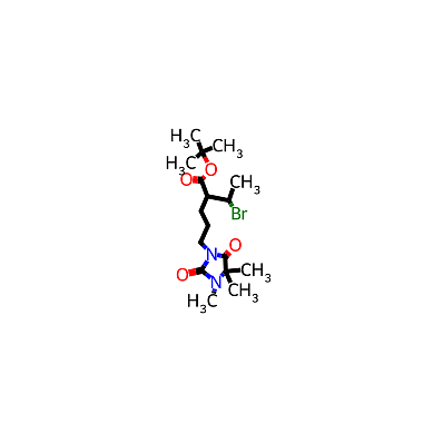 CC(Br)C(CCCN1C(=O)N(C)C(C)(C)C1=O)C(=O)OC(C)(C)C